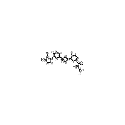 Cc1ccc(C(=O)NC2CC2)cc1-c1cnn(-c2cncc([C@H]3CCC(=O)N3C)c2)c1